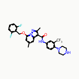 Cc1cc(OCc2c(F)cccc2F)n2nc(C)c(C(=O)Nc3ccc(N4CCNCC4)c(C(F)(F)F)c3)c2c1